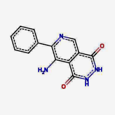 Nc1c(-c2ccccc2)ncc2c(=O)[nH][nH]c(=O)c12